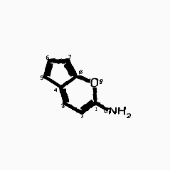 Nc1ccc2cccc-2o1